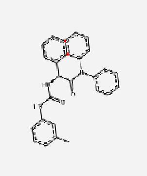 Cc1cccc(NC(=O)N[C@H](C(=O)N(c2ccccc2)c2ccccc2)c2ccccc2)c1